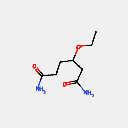 CCOC(CCC(N)=O)CC(N)=O